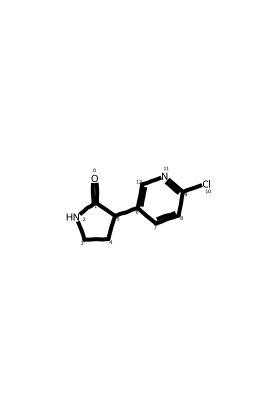 O=C1NCCC1c1ccc(Cl)nc1